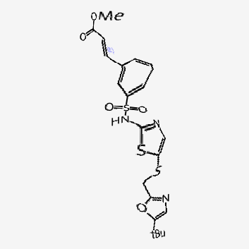 COC(=O)/C=C/c1cccc(S(=O)(=O)Nc2ncc(SCc3ncc(C(C)(C)C)o3)s2)c1